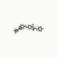 Cc1ncc(OCC(=O)NC2CCC(CCN3CCc4sc(C5CC(F)(F)C5)nc4C3)CC2)cn1